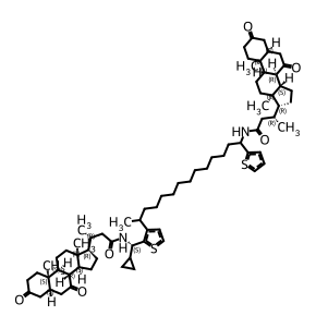 CC(CCCCCCCCCCCC(NC(=O)C[C@@H](C)[C@H]1CC[C@H]2[C@@H]3C(=O)C[C@@H]4CC(=O)CC[C@]4(C)[C@H]3CC[C@]12C)c1cccs1)c1ccsc1[C@@H](NC(=O)C[C@@H](C)[C@H]1CC[C@H]2[C@@H]3C(=O)C[C@@H]4CC(=O)CC[C@]4(C)[C@H]3CC[C@]12C)C1CC1